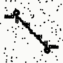 COc1ccccc1NCCCCCNCCCCCCCNCCCCNc1ccccc1OC